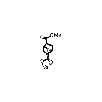 COC(=O)C1CC2CCC1CN2C(=O)OC(C)(C)C